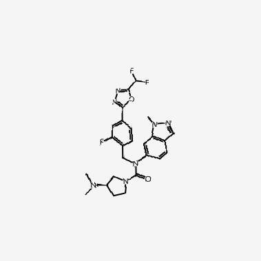 CN(C)[C@@H]1CCN(C(=O)N(Cc2ccc(-c3nnc(C(F)F)o3)cc2F)c2ccc3cnn(C)c3c2)C1